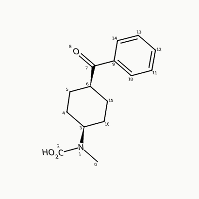 CN(C(=O)O)[C@H]1CC[C@@H](C(=O)c2ccccc2)CC1